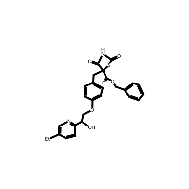 CCc1ccc(C(O)COc2ccc(CC3(C(=O)OCc4ccccc4)SC(=O)NC3=O)cc2)nc1